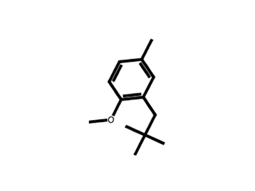 COc1ccc(C)cc1CC(C)(C)C